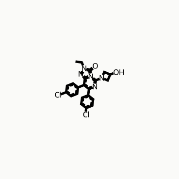 CCn1nc2c(-c3ccc(Cl)cc3)c(-c3ccc(Cl)cc3)nc(N3CC(O)C3)n2c1=O